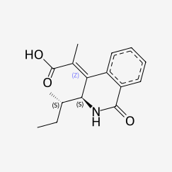 CC[C@H](C)[C@@H]1NC(=O)c2ccccc2/C1=C(\C)C(=O)O